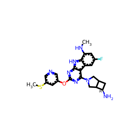 CNc1cc(F)cc2c1[nH]c1nc(Oc3cncc(SC)c3)nc(N3CC4C[C@@H](N)C4C3)c12